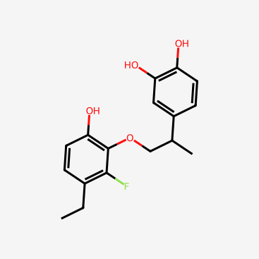 CCc1ccc(O)c(OCC(C)c2ccc(O)c(O)c2)c1F